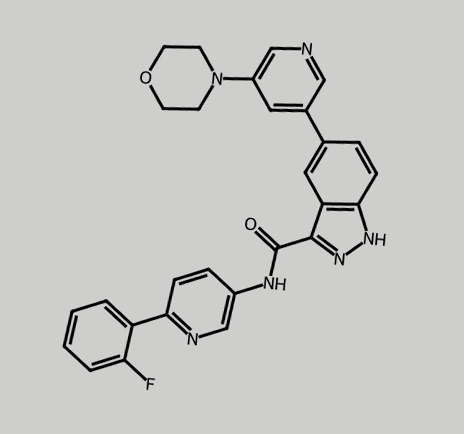 O=C(Nc1ccc(-c2ccccc2F)nc1)c1n[nH]c2ccc(-c3cncc(N4CCOCC4)c3)cc12